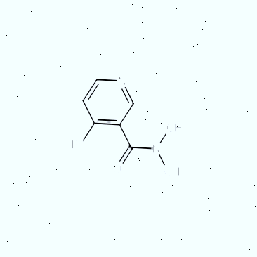 CC(C)c1ccncc1C(=O)N(C)C